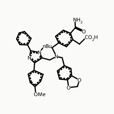 CCCCn1c(-c2ccccc2)nc(-c2ccc(OC)cc2)c1CN(Cc1ccc(C(N)=O)c(CC(=O)O)c1)Cc1ccc2c(c1)OCO2